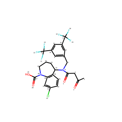 CC(=O)CC(=O)N(Cc1cc(C(F)(F)F)cc(C(F)(F)F)c1)C1CCCN(C(=O)O)c2cc(Cl)ccc21